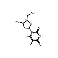 Cc1c(C)n([C@@H]2CC(O)[C@H](CO)O2)c(=O)[nH]c1=O